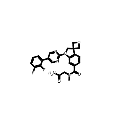 CN(CC(N)=O)C(=O)c1ccc2c(c1)N(c1ncc(-c3cccc(F)c3F)cn1)CC21COC1